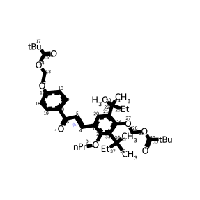 CCCOc1c(/C=C/C(=O)c2ccc(OCOC(=O)C(C)(C)C)cc2)cc(C(C)(C)CC)c(OCOC(=O)C(C)(C)C)c1C(C)(C)CC